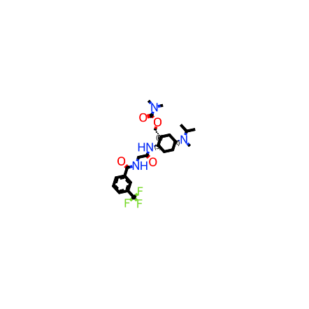 CC(C)N(C)[C@@H]1CC[C@H](NC(=O)CNC(=O)c2cccc(C(F)(F)F)c2)[C@H](COC(=O)N(C)C)C1